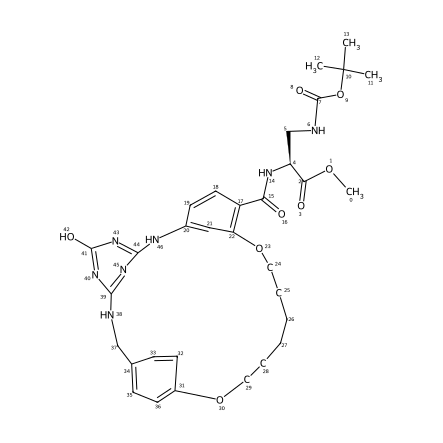 COC(=O)[C@H](CNC(=O)OC(C)(C)C)NC(=O)c1ccc2cc1OCCCCCCOc1ccc(cc1)CNc1nc(O)nc(n1)N2